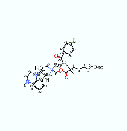 CCCCCCCCCCCCCCC(C)(C)C(=O)OC[N+]1(CCCC(=O)c2ccc(F)cc2)CC[C@H]2[C@@H](C1)c1cccc3c1N2CCN3C